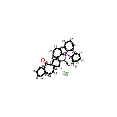 CC(c1ccc2c(=O)c3ccccc3ccc2c1)[P+](c1ccccc1)(c1ccccc1)c1ccccc1.[Br-]